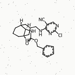 N#Cc1cnc(Cl)nc1NCC1C[C@H]2CCC[C@@H](C1)[C@@H]2NC(=O)OCc1ccccc1